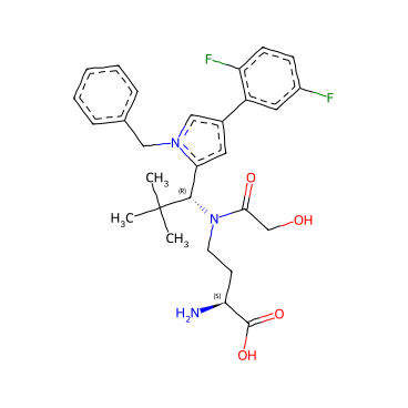 CC(C)(C)[C@H](c1cc(-c2cc(F)ccc2F)cn1Cc1ccccc1)N(CC[C@H](N)C(=O)O)C(=O)CO